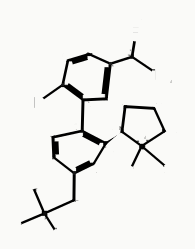 CC(C)(C)Cc1ccc(-c2cc(C(F)F)ccc2F)c([C@H]2CCCC2(C)C)c1